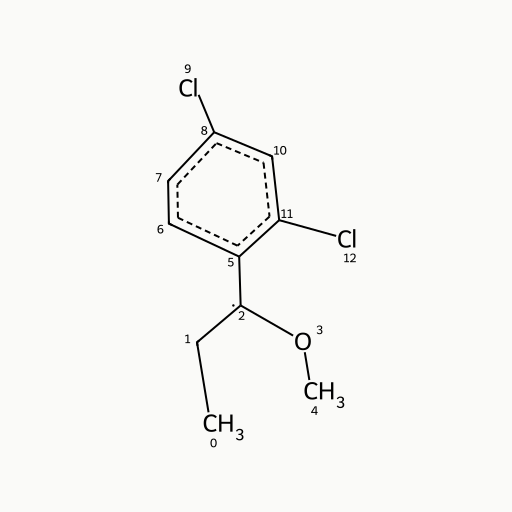 CC[C](OC)c1ccc(Cl)cc1Cl